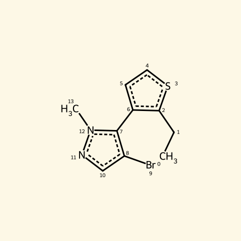 CCc1sccc1-c1c(Br)cnn1C